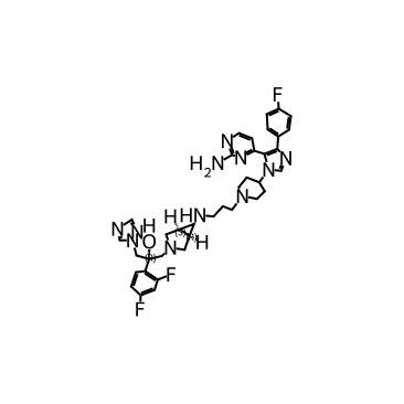 Nc1nccc(-c2c(-c3ccc(F)cc3)ncn2C2CCN(CCCNC3[C@H]4CN(C[C@@](O)(Cn5cncn5)c5ccc(F)cc5F)C[C@@H]34)CC2)n1